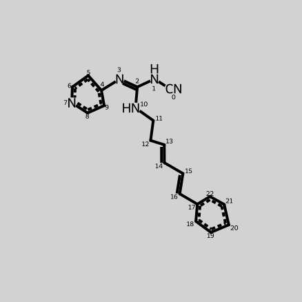 N#CNC(=Nc1ccncc1)NCCC=CC=Cc1ccccc1